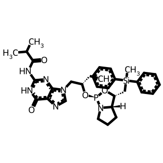 CC[C@@H](Cn1cnc2c(=O)[nH]c(NC(=O)C(C)C)nc21)O[P@@]1O[C@H](C[Si](C)(c2ccccc2)c2ccccc2)[C@@H]2CCCN21